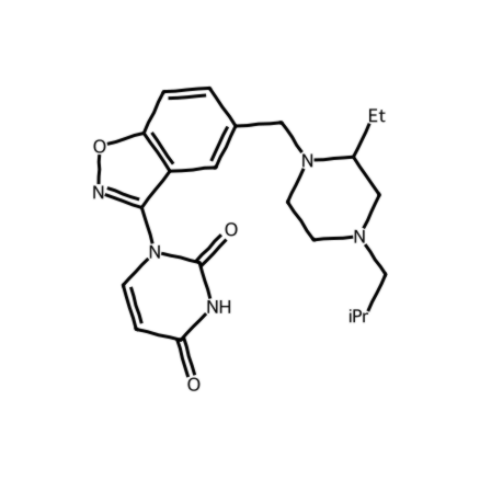 CCC1CN(CC(C)C)CCN1Cc1ccc2onc(-n3ccc(=O)[nH]c3=O)c2c1